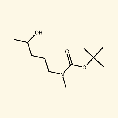 CC(O)CCCN(C)C(=O)OC(C)(C)C